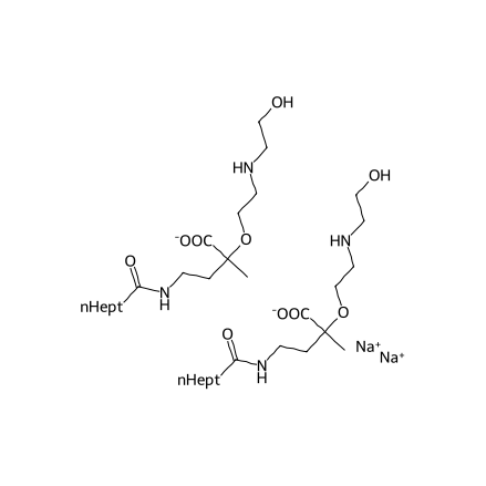 CCCCCCCC(=O)NCCC(C)(OCCNCCO)C(=O)[O-].CCCCCCCC(=O)NCCC(C)(OCCNCCO)C(=O)[O-].[Na+].[Na+]